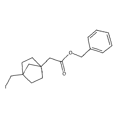 O=C(CC12CCC(CI)(CC1)C2)OCc1ccccc1